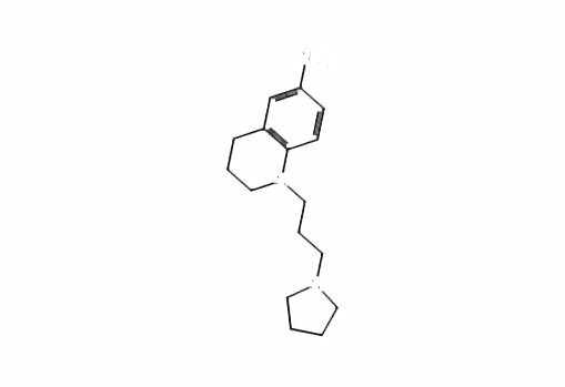 O=[N+]([O-])c1ccc2c(c1)CCCN2CCCN1CCCC1